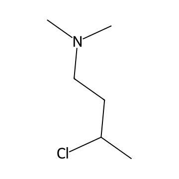 CC(Cl)CCN(C)C